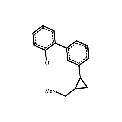 CNCC1CC1c1cccc(-c2ccccc2Cl)c1